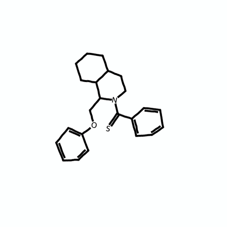 S=C(c1ccccc1)N1CCC2CCCCC2C1COc1ccccc1